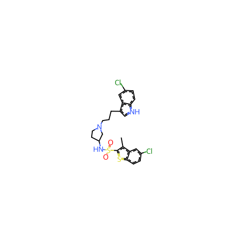 Cc1c(S(=O)(=O)NC2CCN(CCCc3c[nH]c4ccc(Cl)cc34)C2)sc2ccc(Cl)cc12